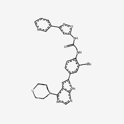 CCC(C)c1cc(-c2cc3c(N4CCOCC4)ncnc3[nH]2)ccc1NC(=O)Nc1cc(-c2cccnc2)no1